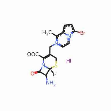 Cc1c2ccc(Br)[n+]-2ccn1CC1=C(C(=O)[O-])N2C(=O)C(N)[C@H]2SC1.I